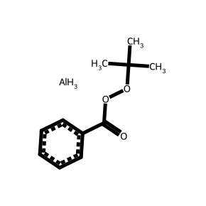 CC(C)(C)OOC(=O)c1ccccc1.[AlH3]